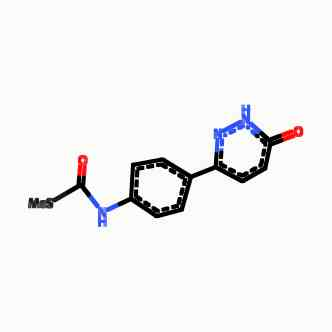 CSC(=O)Nc1ccc(-c2ccc(=O)[nH]n2)cc1